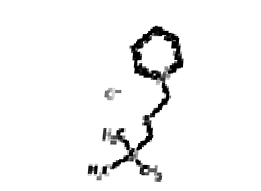 C[Si](C)(C)CSC[n+]1ccccc1.[Cl-]